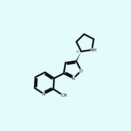 N#Cc1ncccc1-c1cc([C@@H]2CCCN2)on1